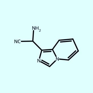 N#CC(N)c1ncn2ccccc12